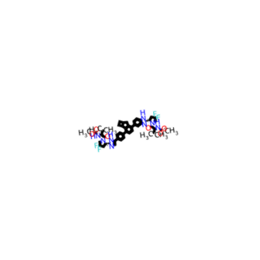 COC(=O)NC(C(=O)N1CC(F)(F)C[C@H]1c1nc2cc(-c3ccc(-c4ccc(-c5cnc([C@@H]6CC(F)(F)CN6C(=O)[C@@H](NC(=O)OC)C(C)C)[nH]5)cc4)c4c3CC3CCC43)ccc2[nH]1)C(C)C